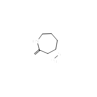 Cl.NO.O=C1CCCCCN1